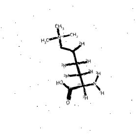 [2H]C(C[N+](C)(C)C)C([2H])([2H])C([2H])([2H])[C@@]([2H])(C(=O)O)N([2H])[2H]